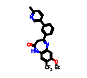 CCOc1cc2c(cc1C(F)(F)F)NC(=O)CC(c1cccc(-c3ccc(C)nc3)c1)=N2